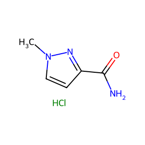 Cl.Cn1ccc(C(N)=O)n1